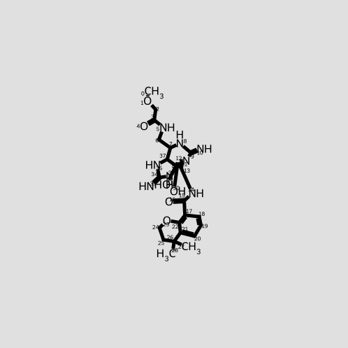 COCC(=O)NCC1NC(=N)N2CC(NC(=O)c3cccc4c3OCCC4(C)C)C(O)(O)[C@@]23NC(=N)NC13